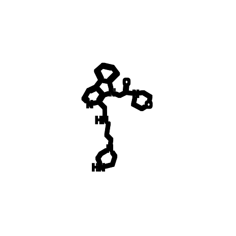 O=C(Cn1c2ccccc2c2ccnc(CNCCCN3CCNCC3)c21)N1CCOCC1